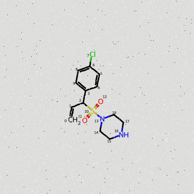 C=CC(c1ccc(Cl)cc1)S(=O)(=O)N1CCNCC1